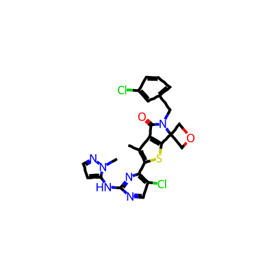 Cc1c(-c2nc(Nc3ccnn3C)ncc2Cl)sc2c1C(=O)N(Cc1cccc(Cl)c1)C21COC1